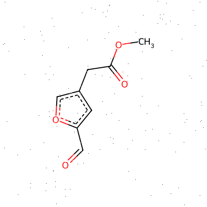 COC(=O)Cc1coc(C=O)c1